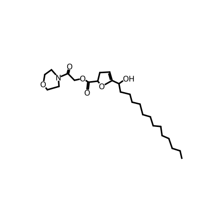 CCCCCCCCCCCCCC(O)C1=CCC(C(=O)OCC(=O)N2CCOCC2)O1